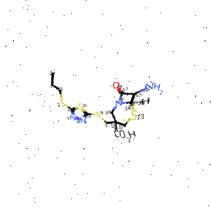 C=CCSc1nnc(SCC2(C(=O)O)CS[C@@H]3C(N)C(=O)N3C2)s1